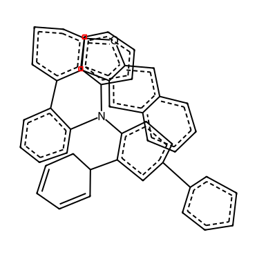 C1=CCC(c2cc(-c3ccccc3)ccc2N(c2ccccc2)c2ccccc2-c2cccc3oc4cc5ccccc5cc4c23)C=C1